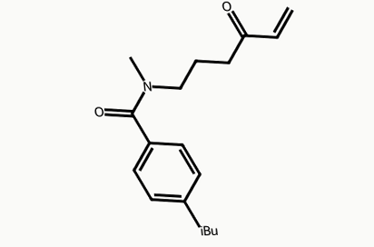 C=CC(=O)CCCN(C)C(=O)c1ccc(C(C)CC)cc1